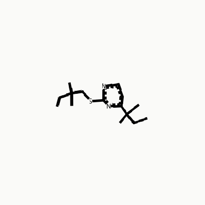 CCC(C)(C)CSc1nccc(C(C)(C)CC)n1